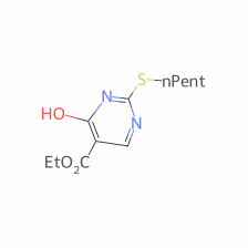 CCCCCSc1ncc(C(=O)OCC)c(O)n1